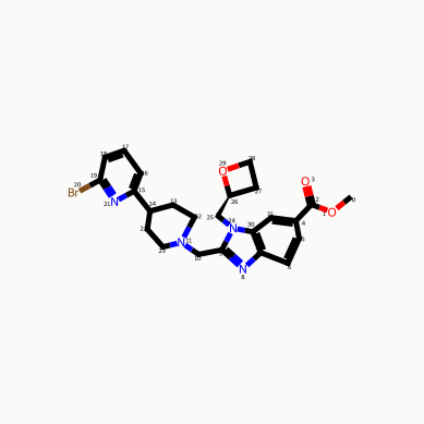 COC(=O)c1ccc2nc(CN3CCC(c4cccc(Br)n4)CC3)n(C[C@@H]3CCO3)c2c1